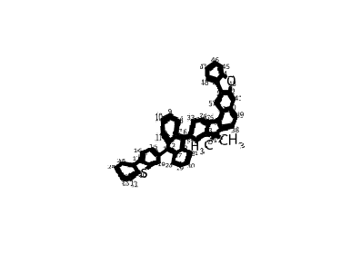 CC1(C)c2cc(-c3c4ccccc4c(-c4ccc5c(c4)sc4ccccc45)c4ccccc34)ccc2-c2c1ccc1cc3oc4ccccc4c3cc21